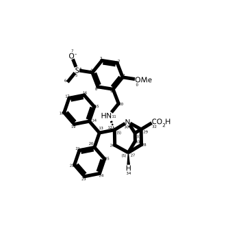 COc1ccc([S+](C)[O-])cc1CN[C@@]1(C(c2ccccc2)c2ccccc2)C[C@H]2CCN1C(C(=O)O)C2